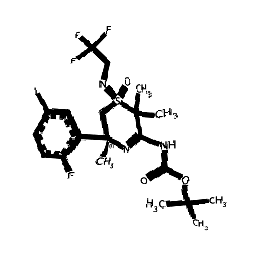 CC(C)(C)OC(=O)NC1=N[C@](C)(c2cc(I)ccc2F)CS(=O)(=NCC(F)(F)F)C1(C)C